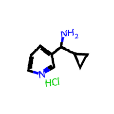 Cl.NC(c1cccnc1)C1CC1